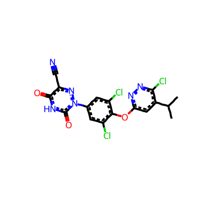 CC(C)c1cc(Oc2c(Cl)cc(-n3nc(C#N)c(=O)[nH]c3=O)cc2Cl)nnc1Cl